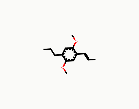 C/C=C/c1cc(OC)c(CCC)cc1OC